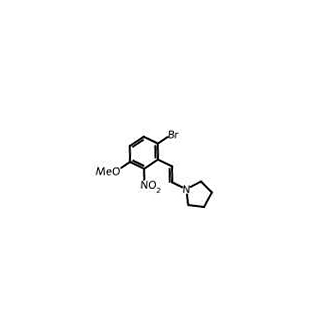 COc1ccc(Br)c(C=CN2CCCC2)c1[N+](=O)[O-]